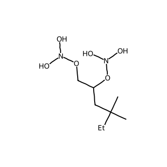 CCC(C)(C)CC(CON(O)O)ON(O)O